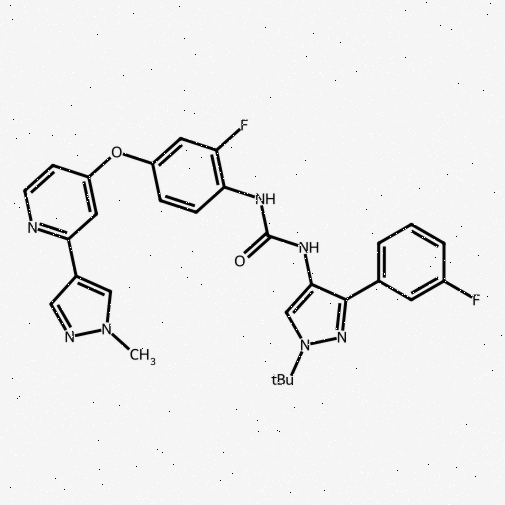 Cn1cc(-c2cc(Oc3ccc(NC(=O)Nc4cn(C(C)(C)C)nc4-c4cccc(F)c4)c(F)c3)ccn2)cn1